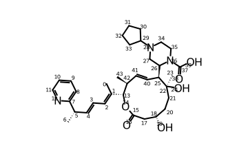 C/C(=C\C=C\[C@H](C)c1ccccn1)[C@H]1OC(=O)C[C@@H](O)CC[C@](C)(O)[C@H](C2CN(C3CCCC3)CCN2C(=O)O)/C=C/[C@@H]1C